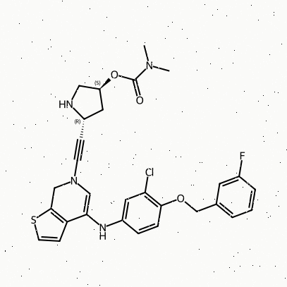 CN(C)C(=O)O[C@@H]1CN[C@@H](C#CN2C=C(Nc3ccc(OCc4cccc(F)c4)c(Cl)c3)c3ccsc3C2)C1